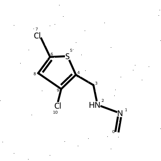 C=NNCc1sc(Cl)cc1Cl